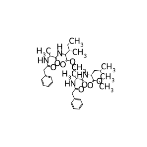 CC[C@H](C)[C@H](NC(=O)[C@H](C)NC(=O)Cc1ccccc1)C(=O)OC.COC(=O)[C@H](CC(C)C)NC(=O)[C@H](C)NC(=O)Cc1ccccc1